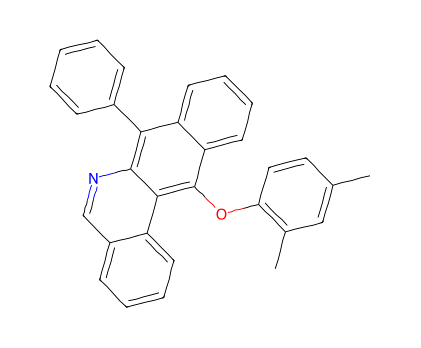 Cc1ccc(Oc2c3ccccc3c(-c3ccccc3)c3ncc4ccccc4c23)c(C)c1